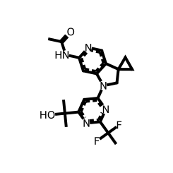 CC(=O)Nc1cc2c(cn1)C1(CC1)CN2c1cc(C(C)(C)O)nc(C(C)(F)F)n1